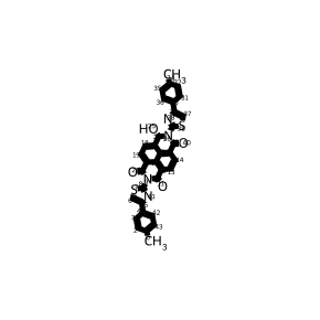 Cc1ccc(-c2csc(N3C(=O)c4ccc5c6c(ccc(c46)C3=O)C(O)N(c3nc(-c4ccc(C)cc4)cs3)C5=O)n2)cc1